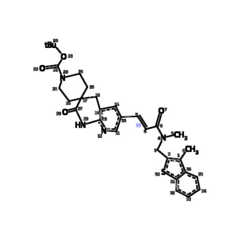 Cc1c(CN(C)C(=O)/C=C/c2cnc3c(c2)CC2(CCN(C(=O)OC(C)(C)C)CC2)C(=O)N3)sc2ccccc12